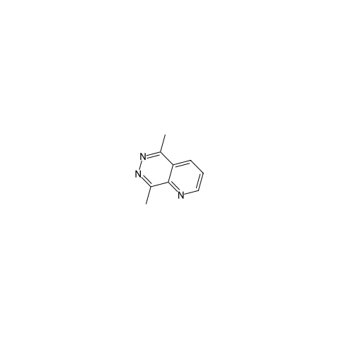 Cc1nnc(C)c2ncccc12